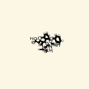 Cc1nnc(CNC(=O)Nc2ccccc2Cl)n1-c1sc(C(=O)O)cc1C(=O)c1ccccc1Cl